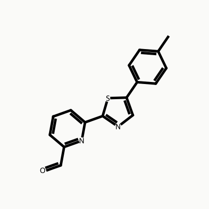 Cc1ccc(-c2cnc(-c3cccc(C=O)n3)s2)cc1